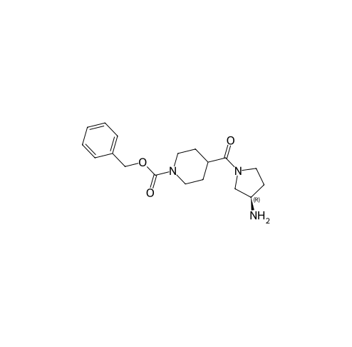 N[C@@H]1CCN(C(=O)C2CCN(C(=O)OCc3ccccc3)CC2)C1